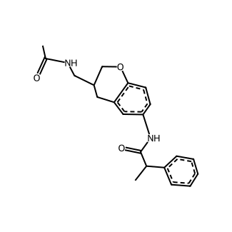 CC(=O)NCC1COc2ccc(NC(=O)C(C)c3ccccc3)cc2C1